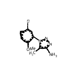 COc1ccc(Cl)cc1-n1nnc(N)c1C